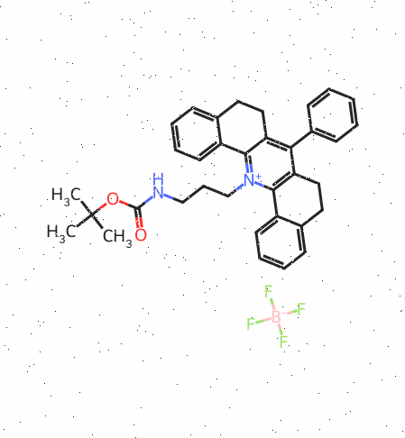 CC(C)(C)OC(=O)NCCC[n+]1c2c(c(-c3ccccc3)c3c1-c1ccccc1CC3)CCc1ccccc1-2.F[B-](F)(F)F